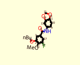 CCCCOc1cc(C(=O)Nc2ccc3c(c2)OCO3)cc(F)c1OC